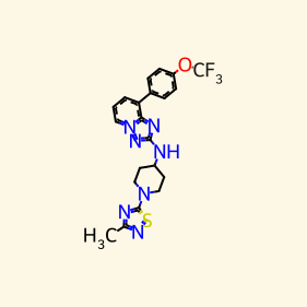 Cc1nsc(N2CCC(Nc3nc4c(-c5ccc(OC(F)(F)F)cc5)cccn4n3)CC2)n1